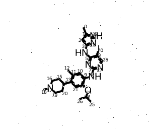 Cc1cc(Nc2nc(Nc3cc(C)c(C4CCN(C)CC4)cc3OC(C)C)ncc2I)n[nH]1